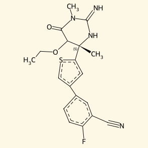 CCOC1C(=O)N(C)C(=N)N[C@]1(C)c1cc(-c2ccc(F)c(C#N)c2)cs1